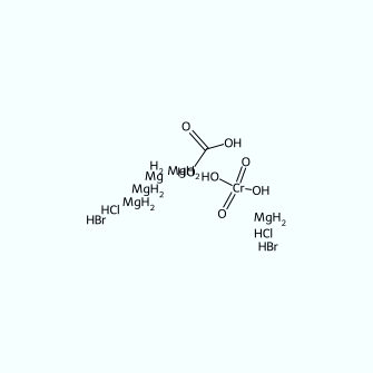 Br.Br.Cl.Cl.O=C(O)O.[MgH2].[MgH2].[MgH2].[MgH2].[MgH2].[O]=[Cr](=[O])([OH])[OH]